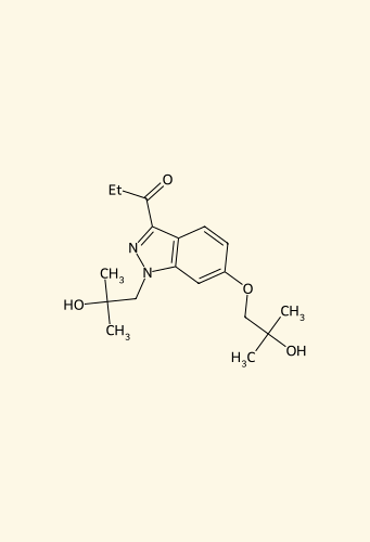 CCC(=O)c1nn(CC(C)(C)O)c2cc(OCC(C)(C)O)ccc12